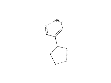 [C]1C=C(C2CCCC2)C=CN1